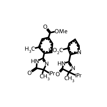 CC(C)C1(C)N=C(c2ncccc2C(=O)O)NC1=O.COC(=O)c1ccc(C2=NC(C)(C(C)C)C(=O)N2)c(C)c1